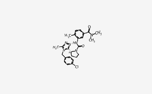 Cc1ccc(C(=O)N(C)C)cc1NC(=O)N1CCC[C@@H]1c1nnc(C)n1Cc1ccc(Cl)cc1